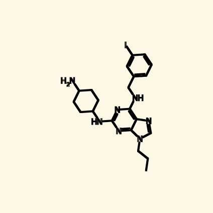 CCCn1cnc2c(NCc3cccc(I)c3)nc(NC3CCC(N)CC3)nc21